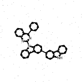 c1ccc(-c2nc(-n3c4ccccc4c4cc(-c5ccc6[nH]c7ccccc7c6c5)ccc43)nc3ccccc23)cc1